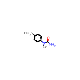 CC(C)N(C(N)=O)c1ccc(S(=O)(=O)O)cc1